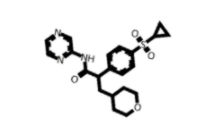 O=C(Nc1cnccn1)C(CC1CCOCC1)c1ccc(S(=O)(=O)C2CC2)cc1